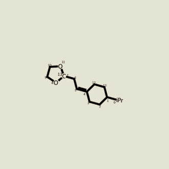 CC(C)C1CCC(=CC[13CH]2OCCO2)CC1